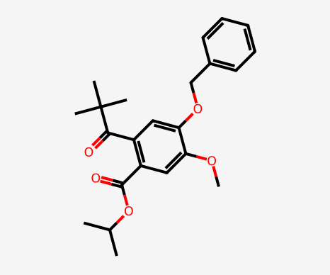 COc1cc(C(=O)OC(C)C)c(C(=O)C(C)(C)C)cc1OCc1ccccc1